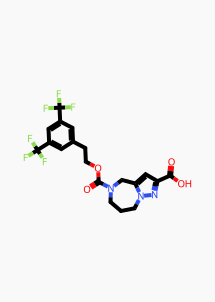 O=C(O)c1cc2n(n1)CCCN(C(=O)OCCc1cc(C(F)(F)F)cc(C(F)(F)F)c1)C2